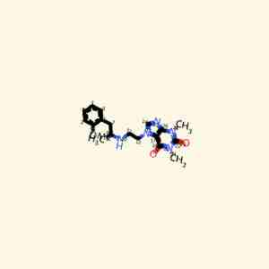 COc1ccccc1CC(C)NCCn1cnc2c1c(=O)n(C)c(=O)n2C